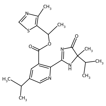 Cc1ncsc1C(C)OC(=O)c1cc(C(C)C)cnc1C1=NC(=O)C(C)(C(C)C)N1